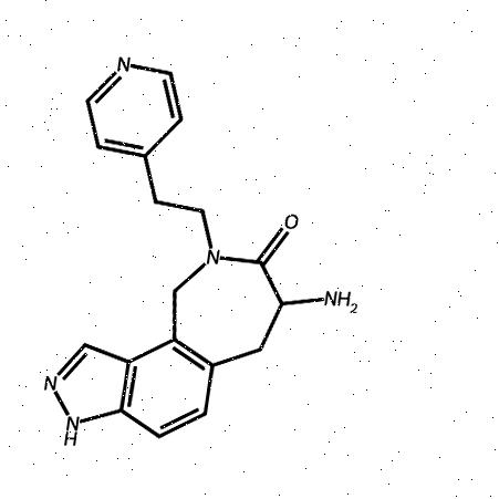 NC1Cc2ccc3[nH]ncc3c2CN(CCc2ccncc2)C1=O